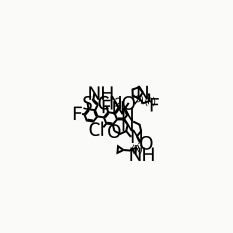 N#Cc1c(N)sc2c(F)ccc(-c3c(Cl)c4c5c(nc(OC[C@@]67CCCN6C[C@H](F)C7)nc5c3F)N3CCCN(C(=O)[C@@H]5NC5C5CC5)CC3CO4)c12